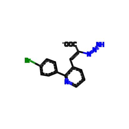 N=[N+]=NC(=Cc1cccnc1-c1ccc(Br)cc1)C(=O)[O-]